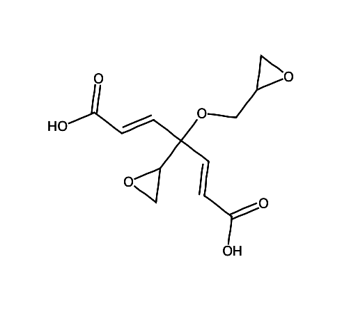 O=C(O)C=CC(C=CC(=O)O)(OCC1CO1)C1CO1